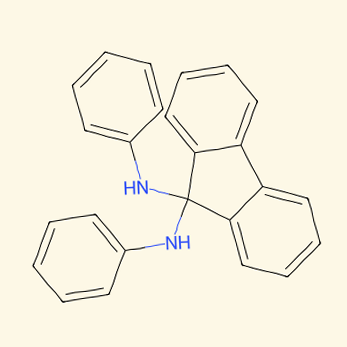 c1ccc(NC2(Nc3ccccc3)c3ccccc3-c3ccccc32)cc1